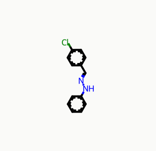 Clc1ccc(/C=N/Nc2ccccc2)cc1